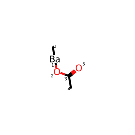 [CH3][Ba][O]C(C)=O